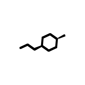 CCC[C@H]1CC[C@H](C)CC1